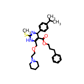 CSC1=NC(c2ccc(C(C)C)cc2)C(C(=O)OCCCc2ccccc2)=C(COCCN2CCCCC2)N1